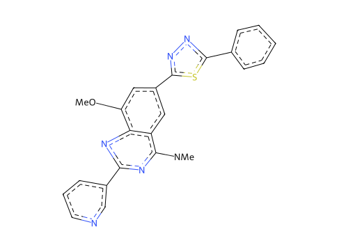 CNc1nc(-c2cccnc2)nc2c(OC)cc(-c3nnc(-c4ccccc4)s3)cc12